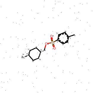 Cc1ccc(S(=O)(=O)OC[C@H]2CC[C@H](C(C)=O)CC2)cc1